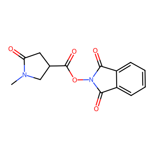 CN1CC(C(=O)ON2C(=O)c3ccccc3C2=O)CC1=O